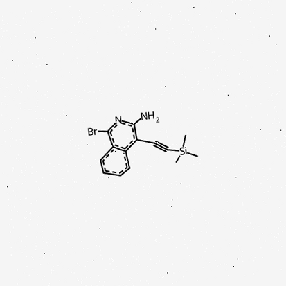 C[Si](C)(C)C#Cc1c(N)nc(Br)c2ccccc12